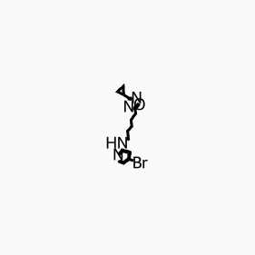 Brc1ccnc(NCCCCCc2nc(C3CC3)no2)c1